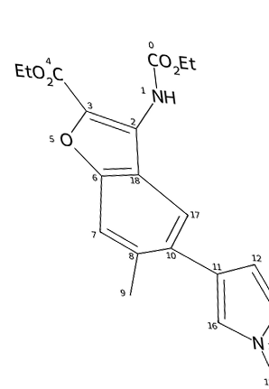 CCOC(=O)Nc1c(C(=O)OCC)oc2cc(C)c(-c3cnn(C)c3)cc12